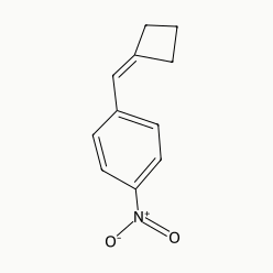 O=[N+]([O-])c1ccc(C=C2CCC2)cc1